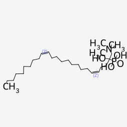 CCCCCCCCC/C=C\CCCCCCCC/C=C\CCC(O)(C[N+](C)(C)C)P(=O)(O)O